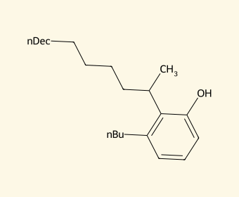 CCCCCCCCCCCCCCC(C)c1c(O)cccc1CCCC